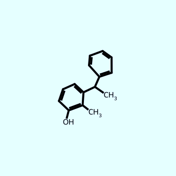 Cc1c(O)cccc1C(C)c1ccccc1